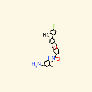 Cc1cc(CN)cc(C)c1CNC(=O)c1ccc2c(c1)C1OC2c2cc(-c3ccc(F)cc3C#N)ccc21